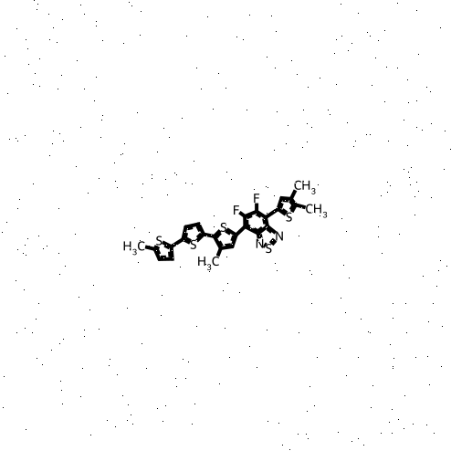 Cc1ccc(-c2ccc(-c3sc(-c4c(F)c(F)c(-c5cc(C)c(C)s5)c5nsnc45)cc3C)s2)s1